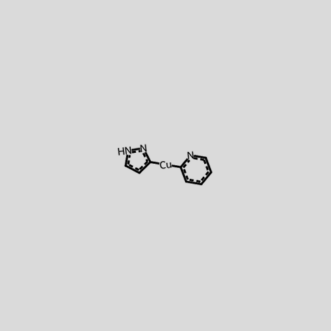 c1cc[c]([Cu][c]2cc[nH]n2)nc1